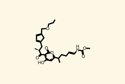 CCCOCC1=CC=C(C[C@H](C)C(=O)c2c(O)cc(C(C)CC/C=C/NC(=O)OC)oc2=O)C1